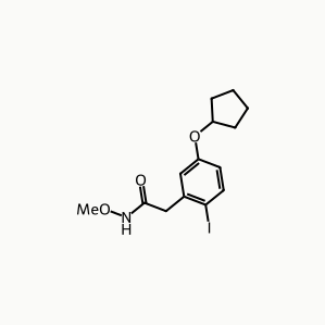 CONC(=O)Cc1cc(OC2CCCC2)ccc1I